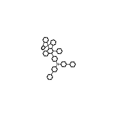 c1ccc(-c2ccc(N(c3ccc(-c4ccccc4)cc3)c3ccc(-c4c(-c5ccccc5)c5c(c6ccccc46)C4(c6ccccc6-c6ccccc64)c4ccccc4-5)cc3)cc2)cc1